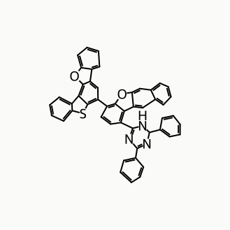 c1ccc(C2=NC(c3ccccc3)NC(c3ccc(-c4cc5c6ccccc6oc5c5c4sc4ccccc45)c4oc5cc6ccccc6cc5c34)=N2)cc1